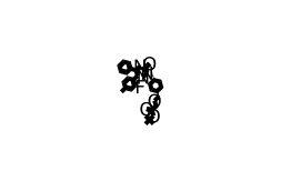 Cc1ccc(-c2nn(C[C@H]3CC[C@H](COCC(=O)OC(C)(C)C)CC3)c(=O)nc2-c2ccccc2)c(F)c1